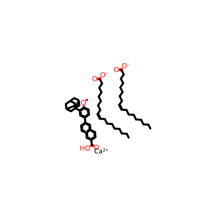 CCCCCCCC/C=C\CCCCCCCC(=O)[O-].CCCCCCCC/C=C\CCCCCCCC(=O)[O-].COc1ccc(-c2ccc3cc(C(=O)O)ccc3c2)cc1C12CC3CC(CC(C3)C1)C2.[Ca+2]